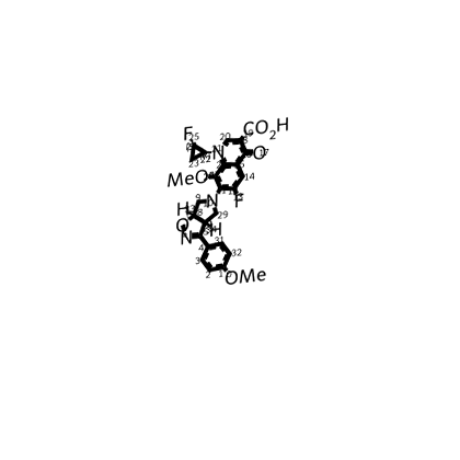 COc1ccc(C2=NO[C@@H]3CN(c4c(F)cc5c(=O)c(C(=O)O)cn([C@@H]6C[C@@H]6F)c5c4OC)C[C@H]23)cc1